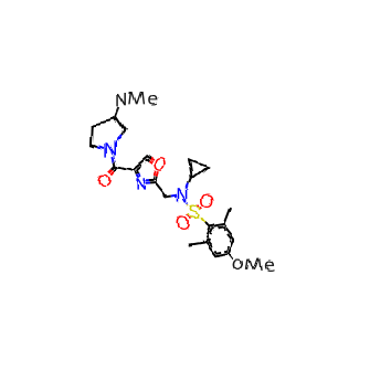 CNC1CCN(C(=O)c2coc(CN(C3CC3)S(=O)(=O)c3c(C)cc(OC)cc3C)n2)C1